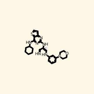 N=C/C(=C\Nc1cccc(N2CCOCC2)c1)Nc1nc(NC2CCCCC2)c2sccc2n1